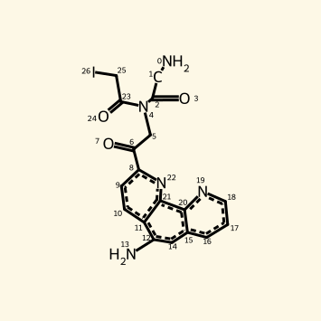 NCC(=O)N(CC(=O)c1ccc2c(N)cc3cccnc3c2n1)C(=O)CI